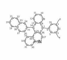 Cc1cc(C)cc(-c2c3ccccc3c(-c3ccc4ccccc4c3)c3c2cnc2ccccc23)c1